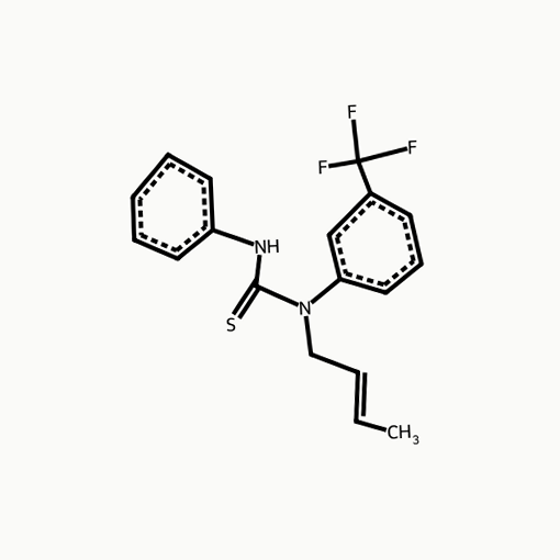 C/C=C/CN(C(=S)Nc1ccccc1)c1cccc(C(F)(F)F)c1